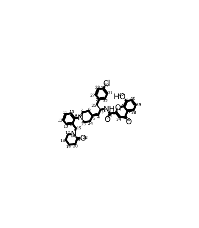 O=C(N[C@@H](C=C1CCN(c2ccccc2CN2CCCCC2=O)CC1)Cc1ccc(Cl)cc1)c1cc(=O)c2cccc(O)c2o1